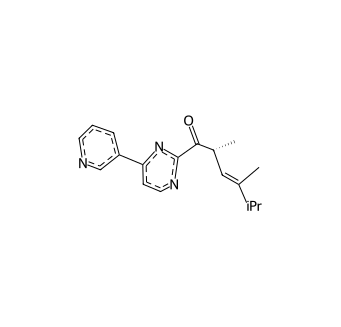 C/C(=C\[C@@H](C)C(=O)c1nccc(-c2cccnc2)n1)C(C)C